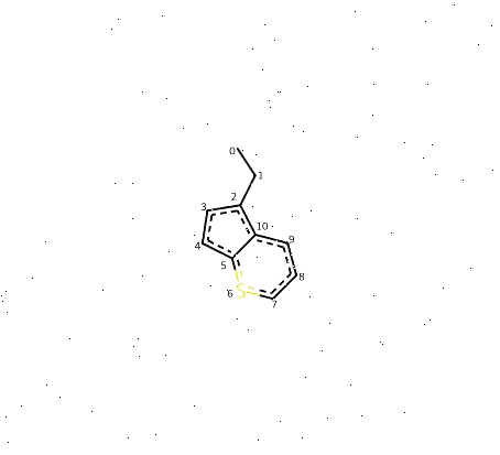 CCc1ccc2scccc1-2